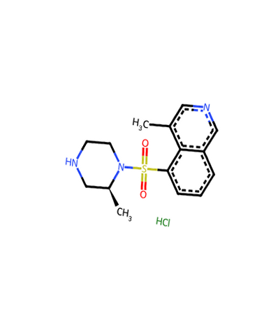 Cc1cncc2cccc(S(=O)(=O)N3CCNC[C@@H]3C)c12.Cl